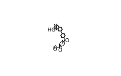 O=C(c1ccc(-c2ccc3cnn(O)c3c2)cc1)N1CCN(C(=O)C2CCO2)CC1